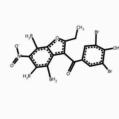 Bc1c([N+](=O)[O-])c(B)c2oc(CC)c(C(=O)c3cc(Br)c(O)c(Br)c3)c2c1B